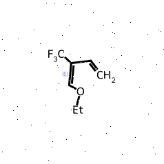 C=C/C(=C\OCC)C(F)(F)F